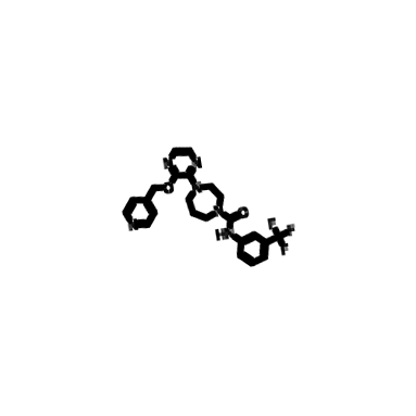 O=C(Nc1cccc(C(F)(F)F)c1)N1CCCN(c2nccnc2OCc2ccncc2)CC1